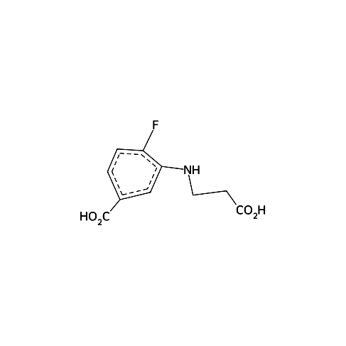 O=C(O)CCNc1cc(C(=O)O)ccc1F